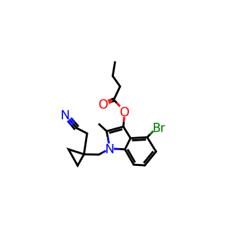 CCCC(=O)Oc1c(C)n(CC2(CC#N)CC2)c2cccc(Br)c12